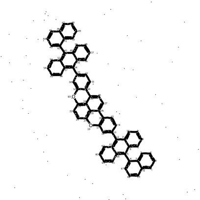 c1ccc2c(-c3c4ccccc4c(-c4ccc5c(c4)Oc4ccc6c7c(ccc-5c47)-c4ccc(-c5c7ccccc7c(-c7cccc8ccccc78)c7ccccc57)cc4O6)c4ccccc34)cccc2c1